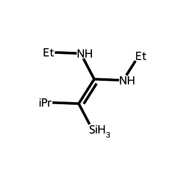 CCNC(NCC)=C([SiH3])C(C)C